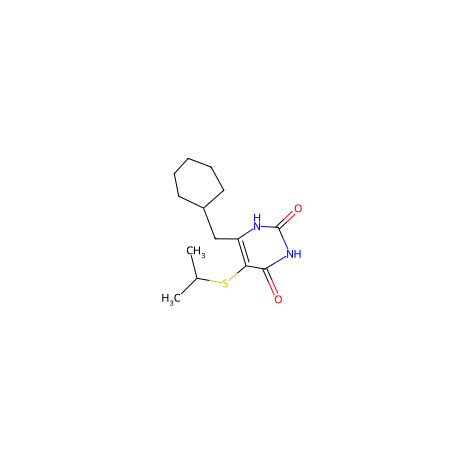 CC(C)Sc1c(CC2CCCCC2)[nH]c(=O)[nH]c1=O